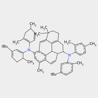 CC1=C(N(C2=CC(C(C)(C)C)=CCC2C)c2cc(C)c3c4c2C=C2C5=C(CCC2(C)C)CC(N(c2ccc(C)cc2C)c2cc(C(C)(C)C)ccc2C)C(C=C3)C54)C=CC(C)C1